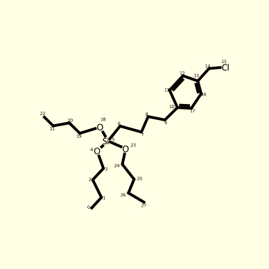 CCCCO[Si](CCCCc1ccc(CCl)cc1)(OCCCC)OCCCC